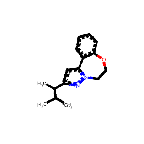 CC(C)C(C)c1cc2n(n1)CCOc1ccccc1-2